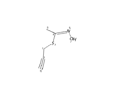 C#CCS/C(C)=N\O